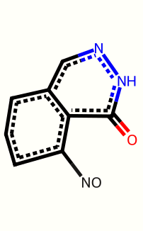 O=Nc1cccc2cn[nH]c(=O)c12